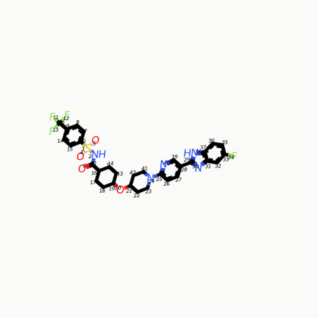 O=C(NS(=O)(=O)c1ccc(C(F)(F)F)cc1)C1CCC(OC2CCN(c3ccc(-c4nc5cc(F)ccc5[nH]4)cn3)CC2)CC1